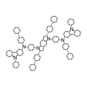 c1ccc(-c2ccc(-c3cc4cc5c(cc(-c6ccc(-c7ccccc7)cc6)n5-c5ccc(N(c6ccc(-c7ccccc7)cc6)c6ccc7c(c6)c6ccccc6n7-c6ccccc6)cc5)cc4n3-c3ccc(N(c4ccc(-c5ccccc5)cc4)c4ccc5c(c4)c4ccccc4n5-c4ccccc4)cc3)cc2)cc1